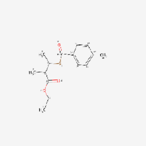 CCOC(=O)C(C)C(C)SC(=O)c1ccc(C)cc1